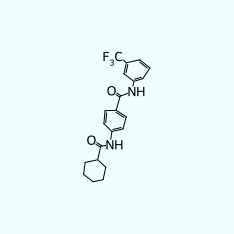 O=C(Nc1cccc(C(F)(F)F)c1)c1ccc(NC(=O)C2CCCCC2)cc1